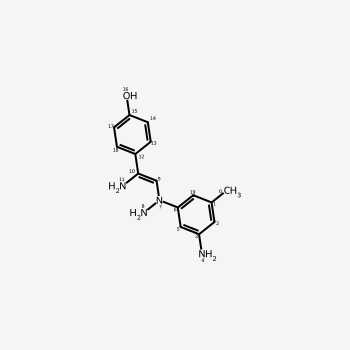 Cc1cc(N)cc(N(N)/C=C(\N)c2ccc(O)cc2)c1